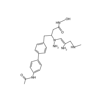 CNC/C(N)=C/N(N)C(CC(=O)NO)Cc1ccc(-c2ccc(NC(C)=O)cc2)cc1